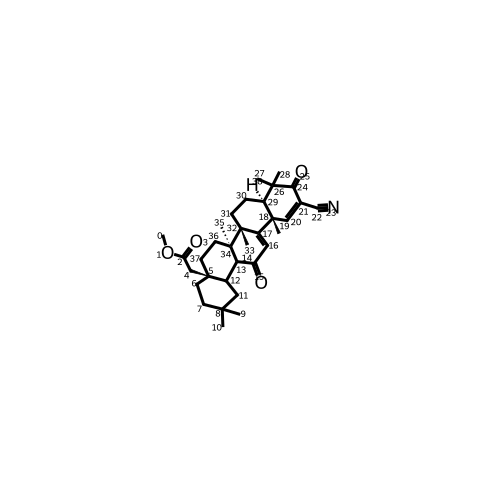 COC(=O)C[C@]12CCC(C)(C)CC1C1C(=O)C=C3[C@@]4(C)C=C(C#N)C(=O)C(C)(C)[C@@H]4CC[C@@]3(C)[C@]1(C)CC2